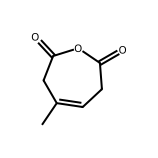 CC1=CCC(=O)OC(=O)C1